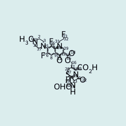 CN1CCN(c2c(F)cc3c(=O)c(C(=O)OCC4=C(C(=O)O)N5C(=O)C(NC=O)[C@H]5SC4)cn(CCF)c3c2F)CC1